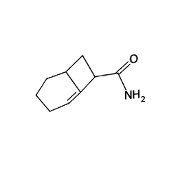 NC(=O)C1CC2CCCC=C21